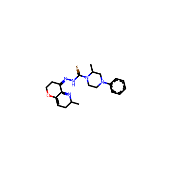 CC1CC=C2OCC/C(=N/NC(=S)N3CCN(c4ccccc4)CC3C)C2=N1